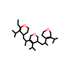 CCC1=C(C(C)C)C(CC(C)C2=C(C(C)C)C(CC(C)C3=C(C(C)C)COCC3)COC2)CCO1